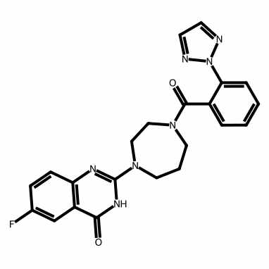 O=C(c1ccccc1-n1nccn1)N1CCCN(c2nc3ccc(F)cc3c(=O)[nH]2)CC1